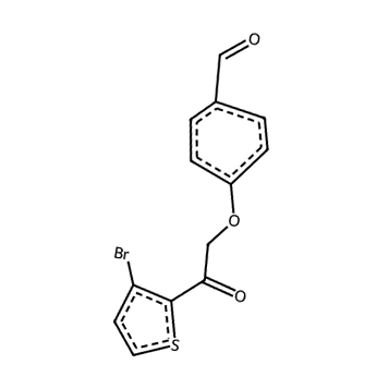 O=Cc1ccc(OCC(=O)c2sccc2Br)cc1